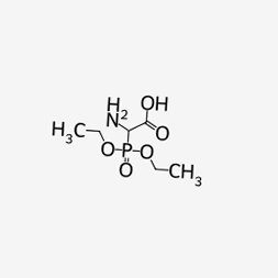 CCOP(=O)(OCC)C(N)C(=O)O